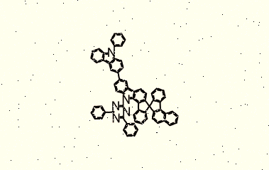 c1ccc(-c2nc(-c3ccccc3)nc(-n3c4ccc(-c5ccc6c(c5)c5ccccc5n6-c5ccccc5)cc4c4ccc5c(c43)-c3ccccc3C53c4ccccc4-c4c3ccc3ccccc43)n2)cc1